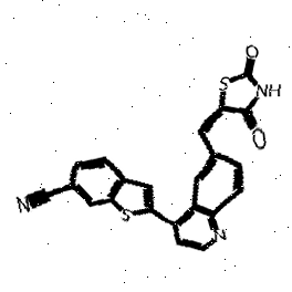 N#Cc1ccc2cc(-c3ccnc4ccc(C=C5SC(=O)NC5=O)cc34)sc2c1